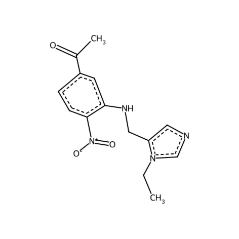 CCn1cncc1CNc1cc(C(C)=O)ccc1[N+](=O)[O-]